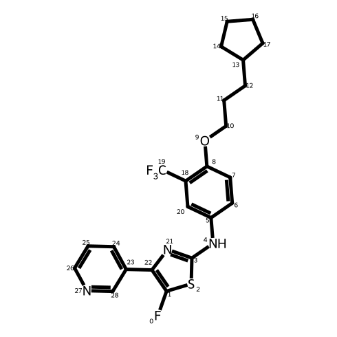 Fc1sc(Nc2ccc(OCCCC3CCCC3)c(C(F)(F)F)c2)nc1-c1cccnc1